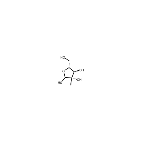 OC[C@H]1OC(S)[C@](O)(F)[C@@H]1O